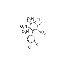 O=[N+]([O-])C1=C(c2ccc(Cl)c(Cl)c2)C([N+](=O)[O-])([N+](=O)[O-])C(Cl)C(Cl)([N+](=O)[O-])C1Cl